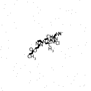 CCCC(=O)OCCc1nccc(N2C[C@@H](C)N(c3nc(Cl)nc(C=[N+]=[N-])n3)[C@@H](C)C2)n1